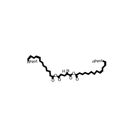 CCCCC/C=C\C/C=C\CCCCCCCC(=O)OC(=O)CCC(N)C(=O)OC(=O)CCCCCCC/C=C\C/C=C\CCCCC